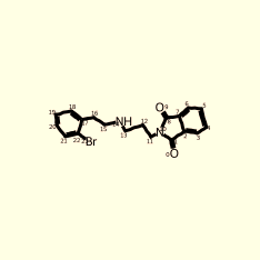 O=C1c2ccccc2C(=O)N1CCCNCCc1ccccc1Br